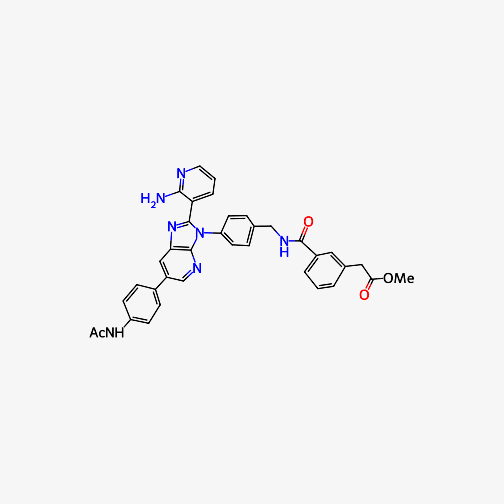 COC(=O)Cc1cccc(C(=O)NCc2ccc(-n3c(-c4cccnc4N)nc4cc(-c5ccc(NC(C)=O)cc5)cnc43)cc2)c1